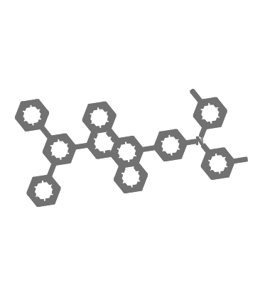 Cc1cccc(N(c2ccc(-c3cc4c5ccccc5c(-c5cc(-c6ccccc6)cc(-c6ccccc6)c5)cc4c4ccccc34)cc2)c2cccc(C)c2)c1